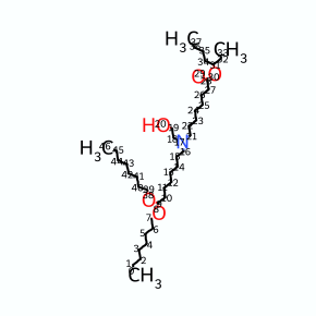 CCCCCCCCOC(CCCCCCCN(CCO)CCCCCCCC(=O)OC(CC)CCCC)OCCCCCCCC